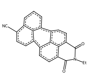 CCN1C(=O)c2ccc3c4cccc5c(C#N)ccc(c6ccc(c2c36)C1=O)c54